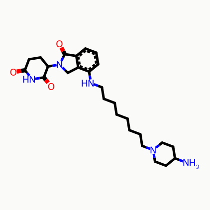 NC1CCN(CCCCCCCCNc2cccc3c2CN(C2CCC(=O)NC2=O)C3=O)CC1